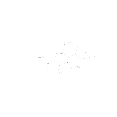 CS(=O)(=O)c1ccc2c(O)c(C(=O)NCC(=O)O)c(=O)n3c2c1CCC3